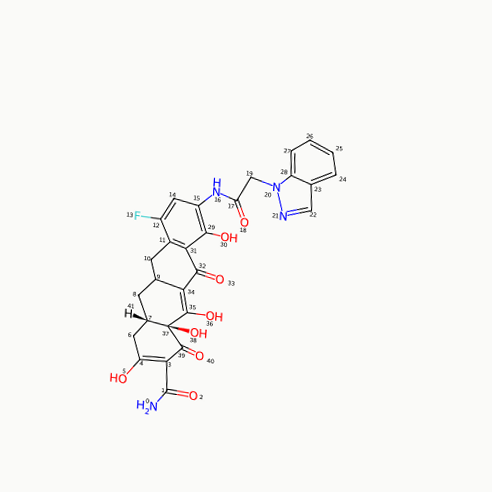 NC(=O)C1=C(O)C[C@@H]2CC3Cc4c(F)cc(NC(=O)Cn5ncc6ccccc65)c(O)c4C(=O)C3=C(O)[C@]2(O)C1=O